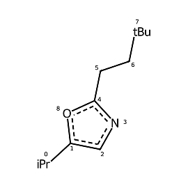 CC(C)c1cnc(CCC(C)(C)C)o1